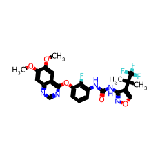 COc1cc2ncnc(Oc3cccc(NC(=O)Nc4nocc4C(C)(C)C(F)(F)F)c3F)c2cc1OC